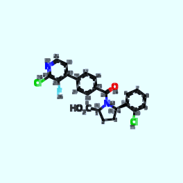 O=C(O)[C@@H]1CC[C@H](c2ccccc2Cl)N1C(=O)c1ccc(-c2ccnc(Cl)c2F)cc1